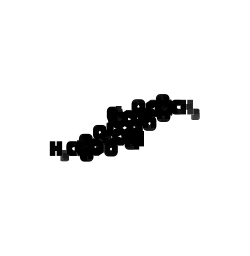 CC1COc2ccc(N3C(=O)c4cc(Cl)c5c6c(Cl)cc7c8c(cc(Cl)c(c9c(Cl)cc(c4c59)C3=O)c86)C(=O)N(c3ccc4c(c3)OCC(C)CO4)C7=O)cc2OC1